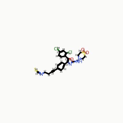 O=S1(=O)CCN(Nc2nc(-c3ccc(C#CCCN=C=S)cc3)c(-c3ccc(Cl)cc3Cl)o2)CC1